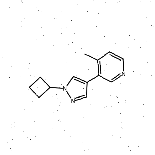 Cc1ccncc1-c1cnn(C2CCC2)c1